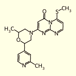 CSc1ccnc2nc(N3CC(C)OC(c4ccnc(C)c4)C3)cc(=O)n12